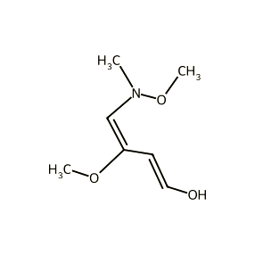 COC(/C=C/O)=C/N(C)OC